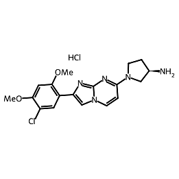 COc1cc(OC)c(-c2cn3ccc(N4CC[C@@H](N)C4)nc3n2)cc1Cl.Cl